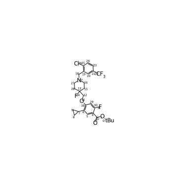 CC(C)(C)OC(=O)c1cc(C2CC2)c(OCC2(F)CCN(Cc3cc(C(F)(F)F)ccc3Cl)CC2)cc1F